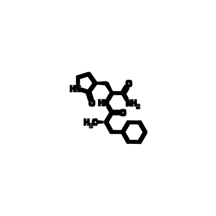 C[C@@H](CC1CCCCC1)C(=O)N[C@@H](C[C@@H]1CCNC1=O)C(N)=O